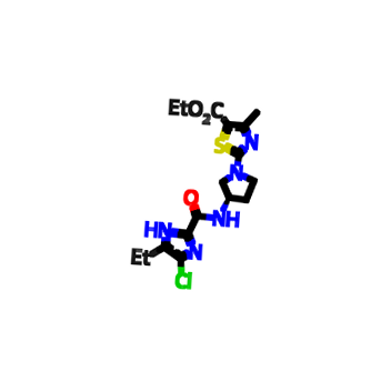 CCOC(=O)c1sc(N2CC[C@@H](NC(=O)c3nc(Cl)c(CC)[nH]3)C2)nc1C